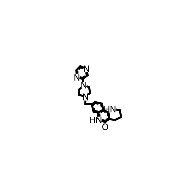 O=c1[nH]c2cc(CN3CCN(c4cnccn4)CC3)ccc2c2c1CCCN2